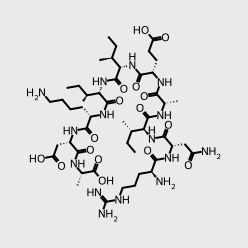 CC[C@H](C)[C@H](NC(=O)[C@H](CC(N)=O)NC(=O)[C@@H](N)CCCNC(=N)N)C(=O)N[C@@H](C)C(=O)N[C@@H](CCC(=O)O)C(=O)N[C@H](C(=O)N[C@H](C(=O)N[C@@H](CCCCN)C(=O)N[C@@H](CC(=O)O)C(=O)N[C@@H](C)C(=O)O)[C@@H](C)CC)[C@@H](C)CC